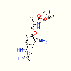 CC(=N)OC(=N)c1ccc(OC[C@@H](C)NC(=O)OC(C)(C)C)c(N)c1